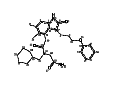 Cc1cc2[nH]c(=O)n(CCCOc3ccccc3)c2c(CC(=O)N(CC(N)=O)CC2CCCCC2)c1C